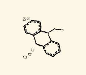 CCB1c2ccccc2Cc2ccccc21.[Cl-].[Cl-].[Cl-].[Zr+3]